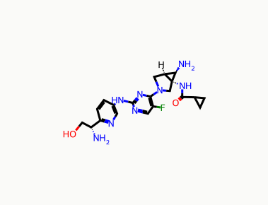 N[C@H](CO)c1ccc(Nc2ncc(F)c(N3C[C@H]4[C@@H](N)[C@@]4(NC(=O)C4CC4)C3)n2)cn1